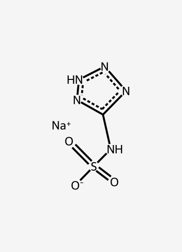 O=S(=O)([O-])Nc1nn[nH]n1.[Na+]